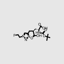 CC(C)(C)OC(=O)N[C@H](C[C@H](Cc1cn(CCF)nn1)C(=O)O)C(=O)O